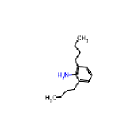 CCCCc1cccc(CCCC)c1N